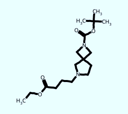 CCOC(=O)CCCN1CCC2(C1)CN(C(=O)OC(C)(C)C)C2